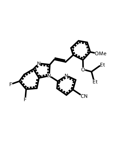 CCC(CC)Oc1c(C=Cc2nc3cc(F)c(F)cc3n2-c2ccc(C#N)cn2)cccc1OC